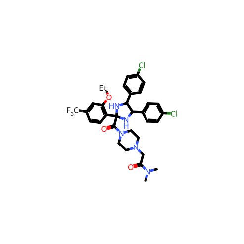 CCOc1cc(C(F)(F)F)ccc1C1(C(=O)N2CCN(CC(=O)N(C)C)CC2)NC(c2ccc(Cl)cc2)C(c2ccc(Cl)cc2)N1